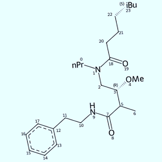 CCCN(C[C@H](OC)C(C)C(=O)NCCc1ccccc1)C(=O)CCC[C@@H](C)CC